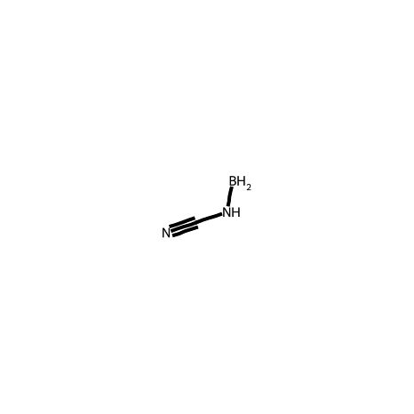 BNC#N